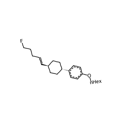 CCCCCCOc1ccc([C@H]2CC[C@H](C=CCCCF)CC2)cc1